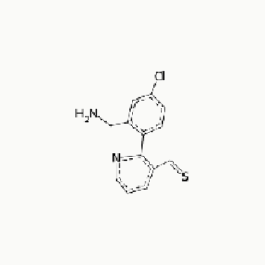 NCc1cc(Cl)ccc1-c1ncccc1C=S